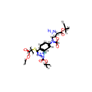 CCOC(=O)C(C)(C)S/C(=N/NC(=O)OC(C)(C)C)c1ccc(N2CC([C@H](N)C(=O)OC(C)(C)C)OC2=O)cc1F